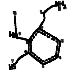 NCc1cccc(S)c1NI